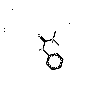 C[SH](C)C(=O)Nc1ccccc1